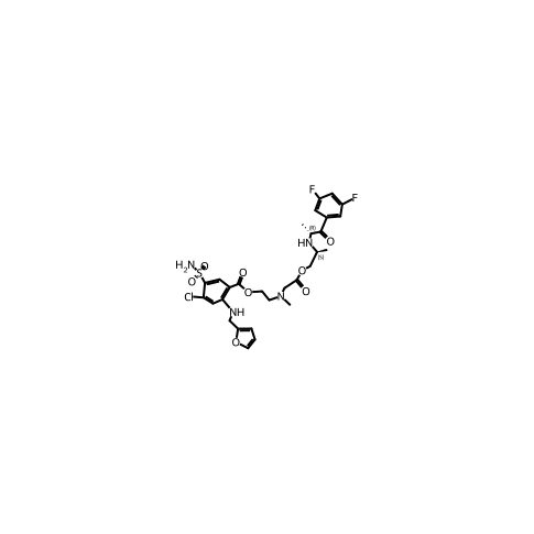 C[C@@H](COC(=O)CN(C)CCOC(=O)c1cc(S(N)(=O)=O)c(Cl)cc1NCc1ccco1)N[C@H](C)C(=O)c1cc(F)cc(F)c1